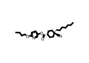 CCCCCCC[C@]1(C#N)CC[C@H](C(=O)Oc2ccc(OCCCC)nc2)CC1